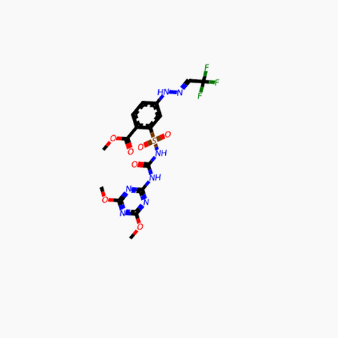 COC(=O)c1ccc(NN=CC(F)(F)F)cc1S(=O)(=O)NC(=O)Nc1nc(OC)nc(OC)n1